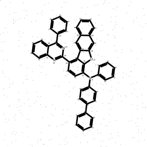 c1ccc(-c2ccc(N(c3ccccc3)c3ccc(-c4nc(-c5ccccc5)c5ccccc5n4)c4c3oc3cc5ccccc5cc34)cc2)cc1